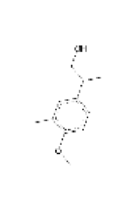 [CH2]C(CO)c1ccc(OC)c(C)c1